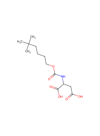 CC(C)(C)CCCCOC(=O)NC(CC(=O)O)C(=O)O